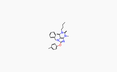 C=C1c2c(nc(Oc3ccc(C)cc3)n2Cc2ccccc2)N(C)C(=C)N1CCCC